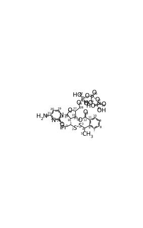 CC(C)CSSC(C)c1ccccc1C(=O)O[C@@H]1C[C@H](n2ccc(N)nc2=O)OC1COP(=O)(O)OP(=O)(O)OP(=O)(O)O